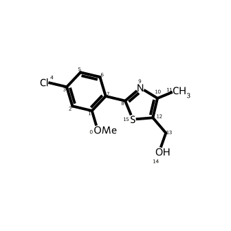 COc1cc(Cl)ccc1-c1nc(C)c(CO)s1